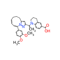 C=C(c1cc2n(n1)/C(c1ccc(OC)c(OC)c1)=C\C=C/CCC2)N1CCCc2cc(C(=O)O)ccc21